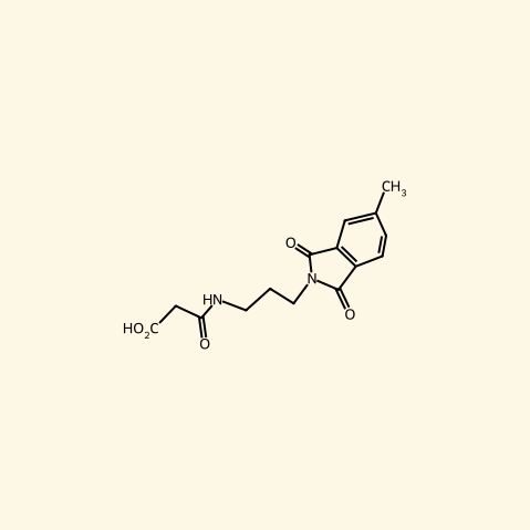 Cc1ccc2c(c1)C(=O)N(CCCNC(=O)CC(=O)O)C2=O